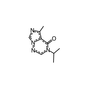 Cc1ncn2ncn(C(C)C)c(=O)c12